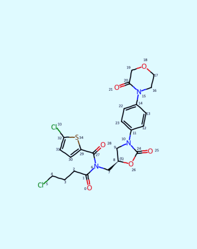 O=C(CCCCl)N(C[C@H]1CN(c2ccc(N3CCOCC3=O)cc2)C(=O)O1)C(=O)c1ccc(Cl)s1